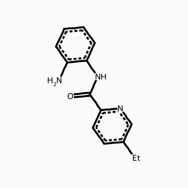 CCc1ccc(C(=O)Nc2ccccc2N)nc1